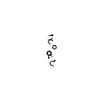 C#C/C=N\C1=C(C)CN([C@@H]2CCC[C@@H]2Oc2ccc3c(c2)CN(C2CCC(=O)NC2=O)C3=O)CC1